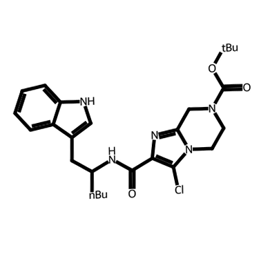 CCCCC(Cc1c[nH]c2ccccc12)NC(=O)c1nc2n(c1Cl)CCN(C(=O)OC(C)(C)C)C2